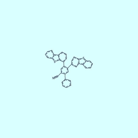 N#Cc1cc(-c2cccc3c2sc2ccccc23)c(-c2ccc3sc4ccccc4c3c2)cc1-c1ccccc1